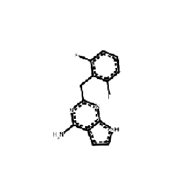 Nc1nc(Cc2c(F)cccc2F)nc2[nH]ccc12